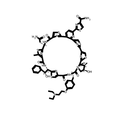 CCN(CC)CCOc1ccc(C[C@@H]2NC(=O)c3csc(n3)[C@H]([C@H](O)c3ccccc3)NC(=O)c3nc(sc3C)[C@H](CC(N)=O)NC(=O)c3csc(n3)-c3ccc(-c4nc(C(N)=O)cs4)nc3-c3csc(n3)-c3csc(n3)[C@@H]3[C@@H](C)[C@@H](O)CN3C2=O)cc1